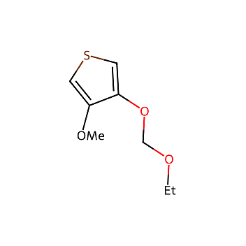 CCOCOc1cscc1OC